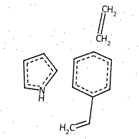 C=C.C=Cc1ccccc1.c1cc[nH]c1